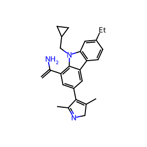 C=C(N)c1cc(C2=C(C)CN=C2C)cc2c3ccc(CC)cc3n(CC3CC3)c12